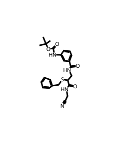 CC(C)(C)OC(=O)Nc1cccc(C(=O)NCC(SCc2ccccc2)C(=O)NCC#N)c1